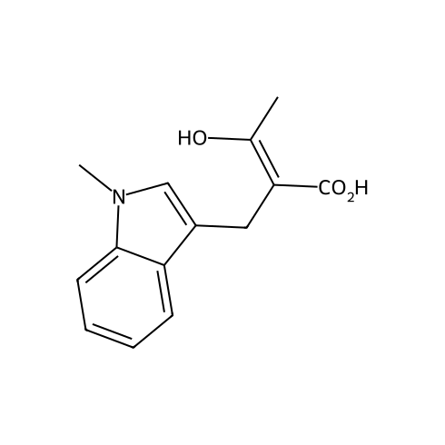 CC(O)=C(Cc1cn(C)c2ccccc12)C(=O)O